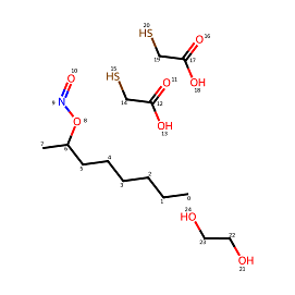 CCCCCCC(C)ON=O.O=C(O)CS.O=C(O)CS.OCCO